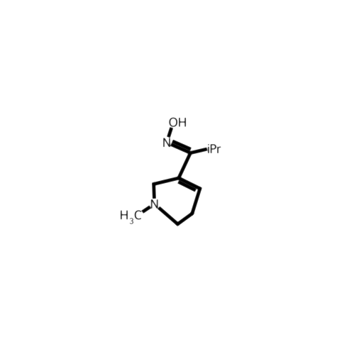 CC(C)C(=NO)C1=CCCN(C)C1